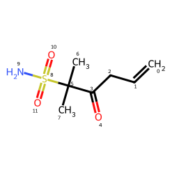 C=CCC(=O)C(C)(C)S(N)(=O)=O